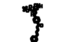 CC(C)(C)OC(=O)NC(CO)(CO)CCc1ccc(C(=O)CCCCc2ccccc2)cc1